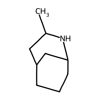 CC1CC2CCCC(C2)N1